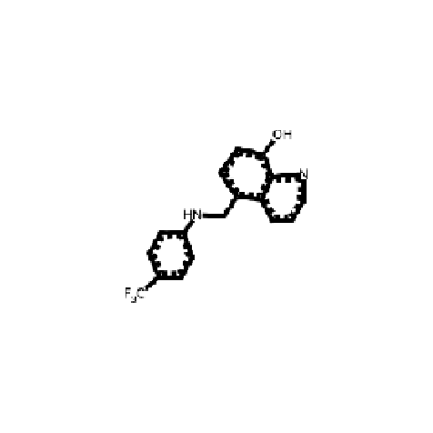 Oc1ccc(CNc2ccc(C(F)(F)F)cc2)c2cccnc12